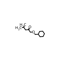 CC(C)CC(=O)COCC1CCCCC1